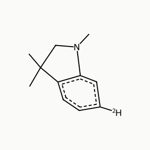 [2H]c1ccc2c(c1)N(C)CC2(C)C